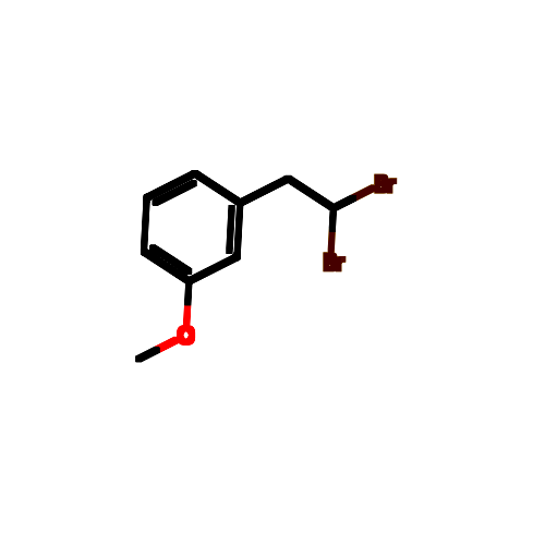 COc1cccc(CC(Br)Br)c1